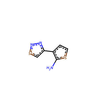 Nc1sccc1-c1csnn1